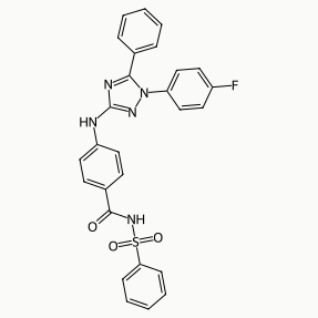 O=C(NS(=O)(=O)c1ccccc1)c1ccc(Nc2nc(-c3ccccc3)n(-c3ccc(F)cc3)n2)cc1